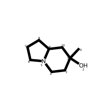 CC1(O)CCN2CCCC2C1